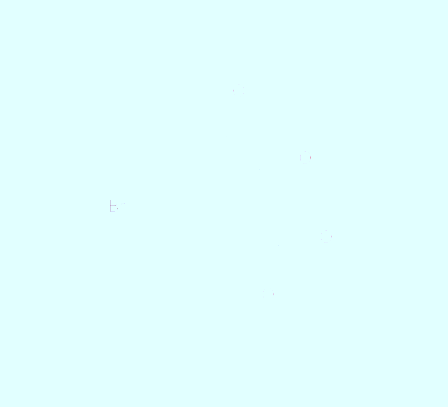 COC(=O)c1cc(Br)cc(OC)c1OC